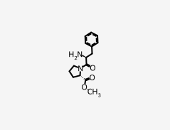 COC(=O)[C@@H]1CCCN1C(=O)[C@@H](N)Cc1ccccc1